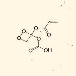 C=CC(=O)OC1(OC(=O)O)COO1